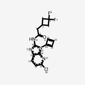 O=C(CC1CC(F)(F)C1)Nc1nc2ccc(Cl)nc2n1C1=CC=C1